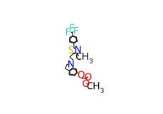 COC(=O)COc1ccc2c(c1)N(CCc1sc(-c3ccc(C(F)(F)F)cc3)nc1C)CC2